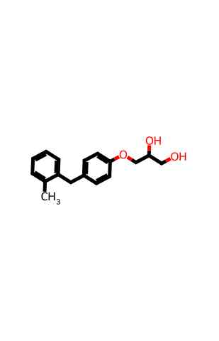 Cc1ccccc1Cc1ccc(OCC(O)CO)cc1